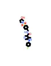 O=C(NCc1ccc(S(=O)(=O)N2CCC(O)C2)cc1)c1cncc2c1cnn2-c1ccc(F)cc1